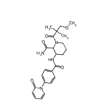 COCC(C)(C)C(=O)N1CC[CH]C(NC(=O)c2ccc(-n3ccccc3=O)cc2)C1C(N)=O